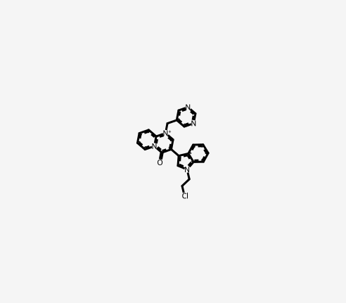 O=c1c(-c2cn(CCCl)c3ccccc23)c[n+](Cc2cncnc2)c2ccccn12